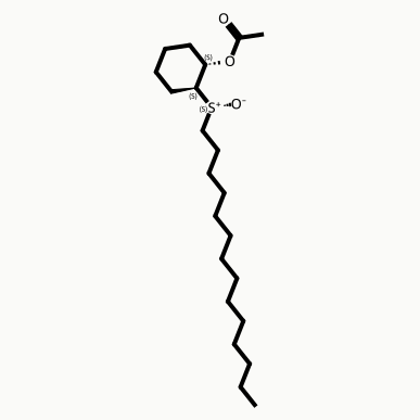 CCCCCCCCCCCCCC[S@@+]([O-])[C@H]1CCCC[C@@H]1OC(C)=O